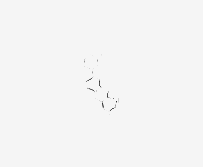 O=c1[nH]cccc1Cc1ccc(C2CCCCC2)cc1